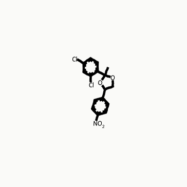 CC1(c2ccc(Cl)cc2Cl)OCC(c2ccc([N+](=O)[O-])cc2)O1